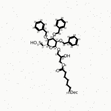 CCCCCCCCCCCCCCCC(=O)OCC(O)CO[C@@H]1O[C@H](CS(=O)(=O)O)[C@@H](OCc2ccccc2)[C@H](OCc2ccccc2)[C@H]1OCc1ccccc1